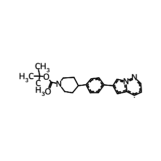 CC(C)(C)OC(=O)N1CCC(c2ccc(-c3cc4[c]ccnn4c3)cc2)CC1